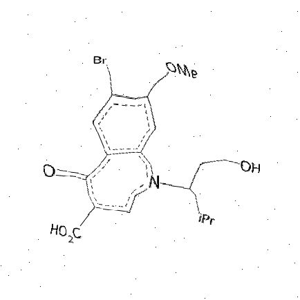 COc1cc2c(cc1Br)c(=O)c(C(=O)O)cn2C(CO)C(C)C